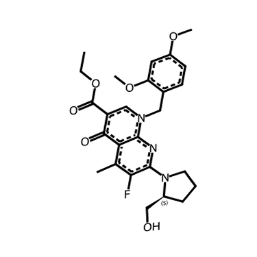 CCOC(=O)c1cn(Cc2ccc(OC)cc2OC)c2nc(N3CCC[C@H]3CO)c(F)c(C)c2c1=O